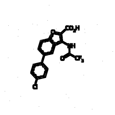 O=C(O)c1oc2ccc(-c3ccc(Cl)cc3)cc2c1NC(=O)C(F)(F)F